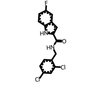 O=C(NCc1ccc(Cl)cc1Cl)c1cc2cc(F)ccc2[nH]1